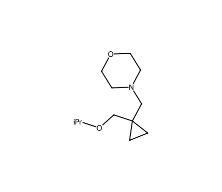 CC(C)OCC1(CN2CCOCC2)CC1